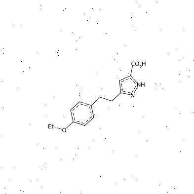 CCOc1ccc(CCc2cc(C(=O)O)[nH]n2)cc1